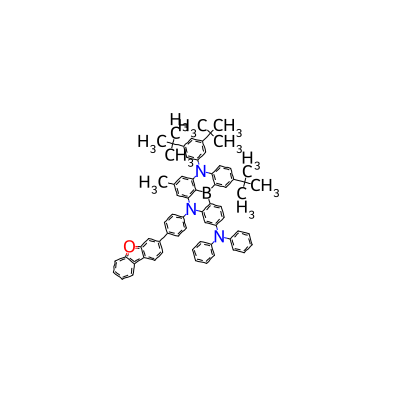 Cc1cc2c3c(c1)N(c1ccc(-c4ccc5c(c4)oc4ccccc45)cc1)c1cc(N(c4ccccc4)c4ccccc4)ccc1B3c1cc(C(C)(C)C)ccc1N2c1cc(C(C)(C)C)cc(C(C)(C)C)c1